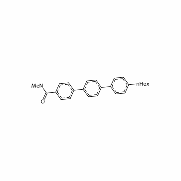 CCCCCCc1ccc(-c2ccc(-c3ccc(C(=O)NC)cc3)cc2)cc1